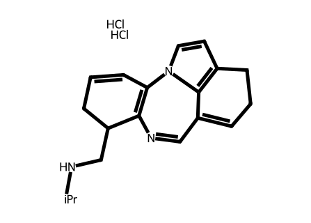 CC(C)NCC1CC=CC2=C1N=CC1=CCCc3ccn2c31.Cl.Cl